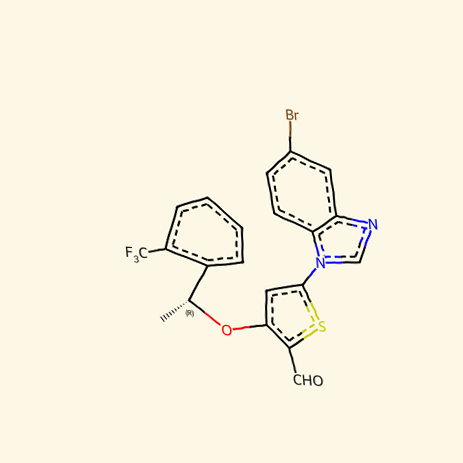 C[C@@H](Oc1cc(-n2cnc3cc(Br)ccc32)sc1C=O)c1ccccc1C(F)(F)F